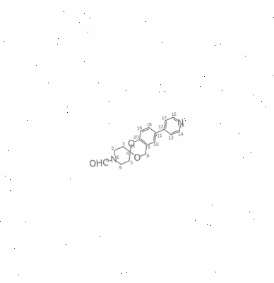 O=CN1CCC2(CC1)OCc1cc(-c3ccncc3)ccc1O2